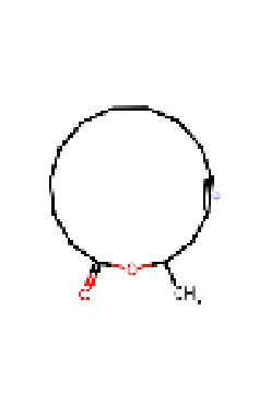 CC1C/C=C\CCCCCCCCCC(=O)O1